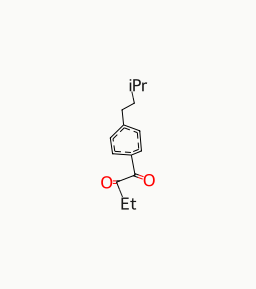 CCC(=O)C(=O)c1ccc(CCC(C)C)cc1